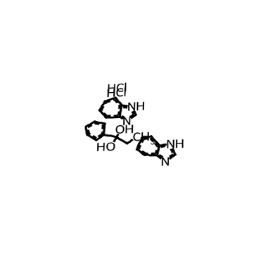 CCC(O)(O)c1ccccc1.Cl.Cl.c1ccc2[nH]cnc2c1.c1ccc2[nH]cnc2c1